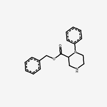 O=C(OCc1ccccc1)C1CNCCN1c1ccccc1